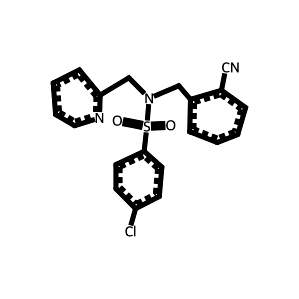 N#Cc1ccccc1CN(Cc1ccccn1)S(=O)(=O)c1ccc(Cl)cc1